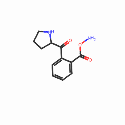 NOC(=O)c1ccccc1C(=O)C1CCCN1